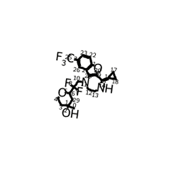 CC1(O)CCOC(C(F)(F)CN2CCNC(=C3CC3)c3oc4ccc(C(F)(F)F)cc4c32)C1